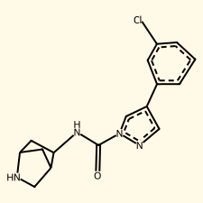 O=C(NC1CC2CC1CN2)n1cc(-c2cccc(Cl)c2)cn1